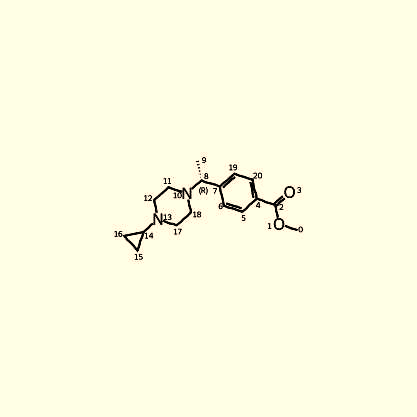 COC(=O)c1ccc([C@@H](C)N2CCN(C3CC3)CC2)cc1